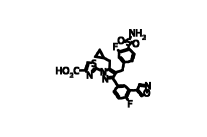 NS(=O)(=O)c1ccc(Cc2c(-c3ccc(F)c(-c4cnoc4)c3)nn(-c3nc(C(=O)O)cs3)c2CC2CC2)cc1F